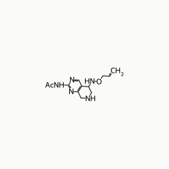 C=CCONC1CNCc2nc(NC(C)=O)ncc21